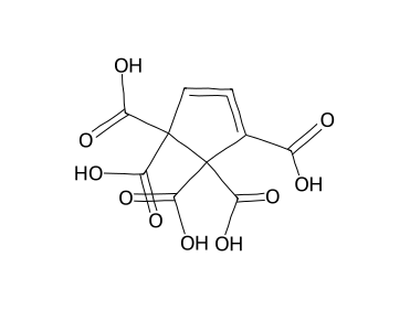 O=C(O)C1=C=CC(C(=O)O)(C(=O)O)C1(C(=O)O)C(=O)O